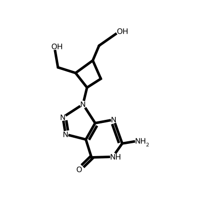 Nc1nc2c(nnn2C2CC(CO)C2CO)c(=O)[nH]1